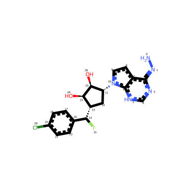 N/N=c1/nc[nH]c2c1ccn2[C@@H]1C[C@H](C(F)c2ccc(Cl)cc2)[C@@H](O)[C@H]1O